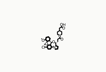 COc1cccc([C@H]2O[C@H](CCC(=O)N3CCC(CC(=O)O)CC3)c3cccn3-c3ccc(Cl)cc32)c1OC